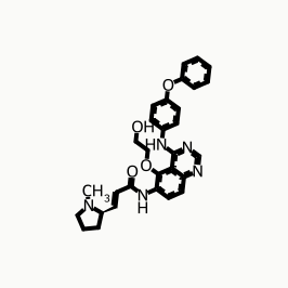 CN1CCC[C@@H]1/C=C/C(=O)Nc1ccc2ncnc(Nc3ccc(Oc4ccccc4)cc3)c2c1OCCO